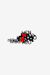 CCCCCCCC(=O)N[C@H]1CS[C@@H]2c3c(OC(C)=O)c(C)c4c(c3[C@H](COC1=O)N1C2[C@H]2c3c(cc(C)c(OC)c3O)C[C@@H]([C@@H]1C#N)N2C)OCO4